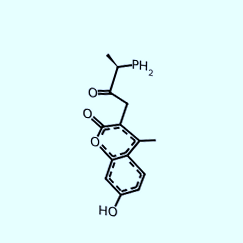 Cc1c(CC(=O)[C@@H](C)P)c(=O)oc2cc(O)ccc12